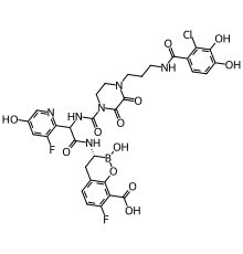 O=C(NCCCN1CCN(C(=O)NC(C(=O)N[C@H]2Cc3ccc(F)c(C(=O)O)c3OB2O)c2ncc(O)cc2F)C(=O)C1=O)c1ccc(O)c(O)c1Cl